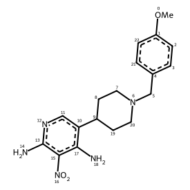 COc1ccc(CN2CCC(c3cnc(N)c([N+](=O)[O-])c3N)CC2)cc1